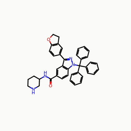 O=C(NC1CCCNC1)c1ccc2c(c1)c(-c1ccc3c(c1)CCO3)nn2C(c1ccccc1)(c1ccccc1)c1ccccc1